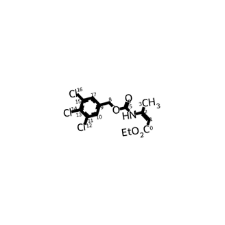 CCOC(=O)/C=C(/C)NC(=O)OCc1cc(Cl)c(Cl)c(Cl)c1